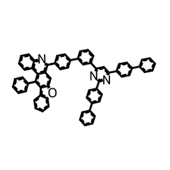 c1ccc(-c2ccc(-c3cc(-c4cccc(-c5ccc(-c6nc7ccccc7c7c(-c8ccccc8)c8c(cc67)oc6ccccc68)cc5)c4)nc(-c4ccc(-c5ccccc5)cc4)n3)cc2)cc1